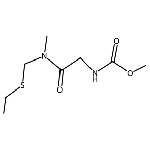 CCSCN(C)C(=O)CNC(=O)OC